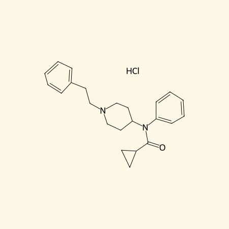 Cl.O=C(C1CC1)N(c1ccccc1)C1CCN(CCc2ccccc2)CC1